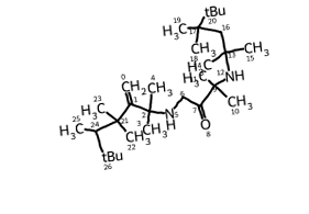 C=C(C(C)(C)NCC(=O)C(C)(C)NC(C)(C)CC(C)(C)C(C)(C)C)C(C)(C)C(C)C(C)(C)C